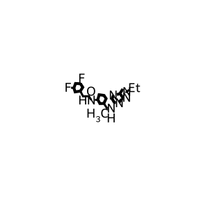 CCn1cc2ncc(N[C@@H](C)c3cccc(NC(=O)Cc4cc(F)cc(F)c4)c3)nc2n1